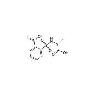 C[C@@H](NS(=O)(=O)c1ccccc1[N+](=O)[O-])C(=O)O